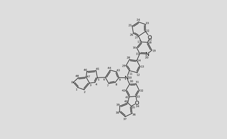 c1ccc2cc(-c3ccc(N(c4ccc(-c5cc6c(cn5)oc5ccccc56)cc4)c4ccc5oc6ccccc6c5c4)cc3)ccc2c1